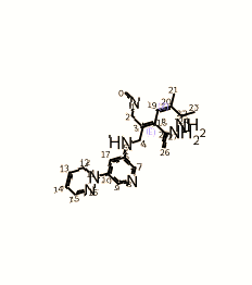 C=NC/C(CNc1cncc(N2CC=CC=N2)c1)=C(\C=C(\C)C(C)N)C(=C)N